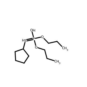 CCCOP(O)(OCCC)=[SH]C1CCCC1